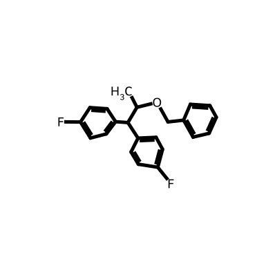 CC(OCc1ccccc1)C(c1ccc(F)cc1)c1ccc(F)cc1